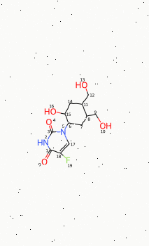 O=c1[nH]c(=O)n(C2CC(CO)C(CO)CC2O)cc1F